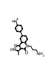 Cc1[nH]nc2c1c(=O)n(CCCN)c1ccc(-c3ccc(N(C)C)cc3)cc21